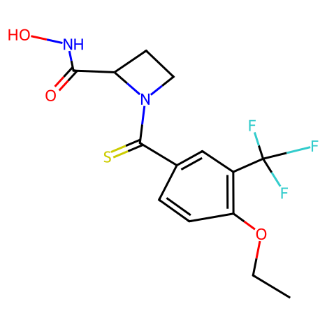 CCOc1ccc(C(=S)N2CCC2C(=O)NO)cc1C(F)(F)F